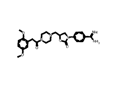 COc1ccc(OC)c(CC(=O)N2CCN(CC3CN(c4ccc(C(=N)N)cc4)C(=O)O3)CC2)c1